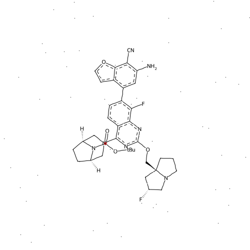 CC(C)(C)OC(=O)N1[C@@H]2CC[C@H]1CN(c1nc(OC[C@@]34CCCN3C[C@H](F)C4)nc3c(F)c(-c4cc(N)c(C#N)c5occc45)ccc13)C2